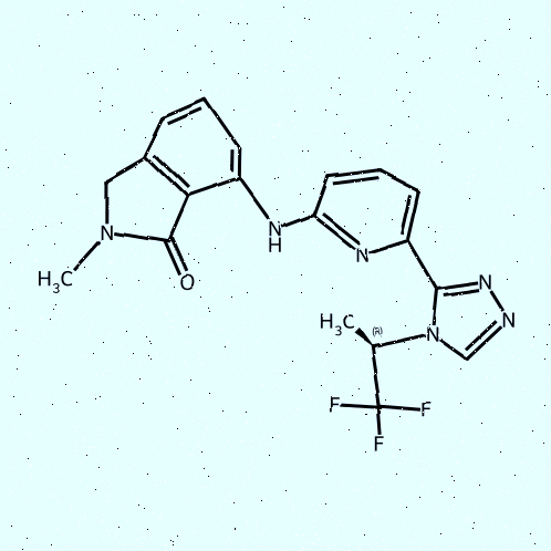 C[C@@H](n1cnnc1-c1cccc(Nc2cccc3c2C(=O)N(C)C3)n1)C(F)(F)F